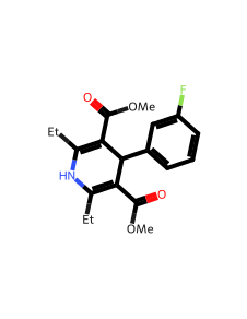 CCC1=C(C(=O)OC)C(c2cccc(F)c2)C(C(=O)OC)=C(CC)N1